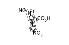 C=C(C)C(=O)O.CCN(CCC#N)c1ccc(/N=N/c2ccc([N+](=O)[O-])cc2)cc1